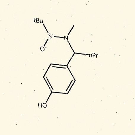 CCCC(c1ccc(O)cc1)N(C)[S+]([O-])C(C)(C)C